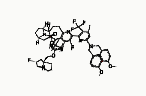 COc1ccc(CN(Cc2ccc(OC)cc2)c2cc(C)c(C(F)(F)F)c(-c3nc4c5c(nc(OC[C@@]67CCCN6C[C@H](F)C7)nc5c3F)N3C[C@H]5CC[C@@H]([C@@H]3CC4)N5C(=O)OC(C)(C)C)n2)cc1